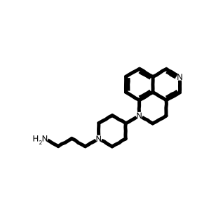 NCCCN1CCC(N2CCc3cncc4cccc2c34)CC1